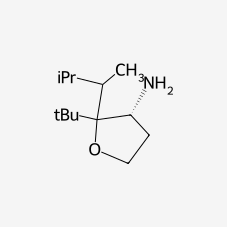 CC(C)C(C)C1(C(C)(C)C)OCC[C@H]1N